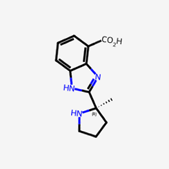 C[C@]1(c2nc3c(C(=O)O)cccc3[nH]2)CCCN1